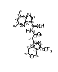 Cc1cc(C)n2ncc(C(=N)NC(=O)Cn3nc(C(F)(F)F)c4c3CCOC4)c2n1